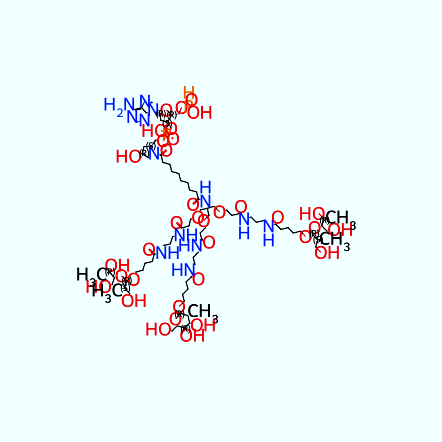 CC1C(O)[C@@H](O)C(CO)O[C@H]1OCCCCC(=O)NCCCNC(=O)CCOCC(COCCC(=O)NCCCNC(=O)CCCCO[C@H](OC(CO)[C@@H](C)O)[C@@H](C)CO)(COCCC(=O)NCCCNC(=O)CCCCO[C@H](OC(CO)[C@@H](C)O)[C@@H](C)CO)NC(=O)CCCCCCCCC(=O)N1C[C@H](O)C[C@H]1COP(=O)(O)O[C@H]1C[C@H](n2cnc3c(N)ncnc32)O[C@@H]1CO[PH](=O)O